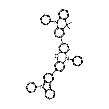 CC1(C)c2ccccc2N(c2ccccc2)c2ccc(-c3ccc4c(c3)Oc3cc(-c5ccc6c(c5)c5ccccc5n6-c5ccccc5)ccc3N4c3ccccc3)cc21